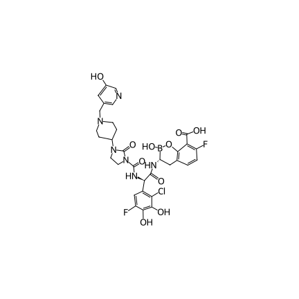 O=C(O)c1c(F)ccc2c1OB(O)[C@@H](NC(=O)[C@H](NC(=O)N1CCN(C3CCN(Cc4cncc(O)c4)CC3)C1=O)c1cc(F)c(O)c(O)c1Cl)C2